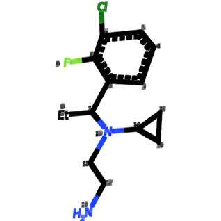 CCC(c1cccc(Cl)c1F)N(CCN)C1CC1